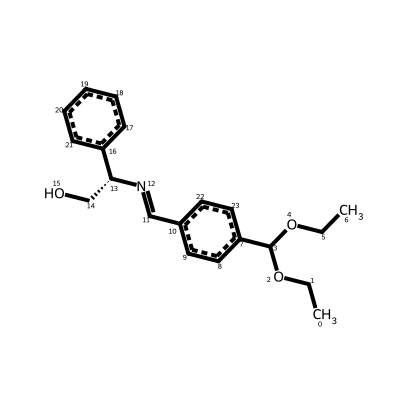 CCOC(OCC)c1ccc(C=N[C@H](CO)c2ccccc2)cc1